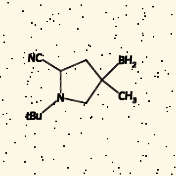 BC1(C)CC(C#N)N(C(C)(C)C)C1